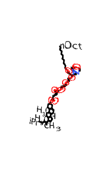 CCCCCCCC/C=C\CCCCCCCCOCC(CN1CCOCC1)OCCOCCOC(=O)CCC(=O)OC1CCC2(C)C(=CCC3C2CCC2(C)C(C(C)CCCC(C)C)CC[C@H]32)C1